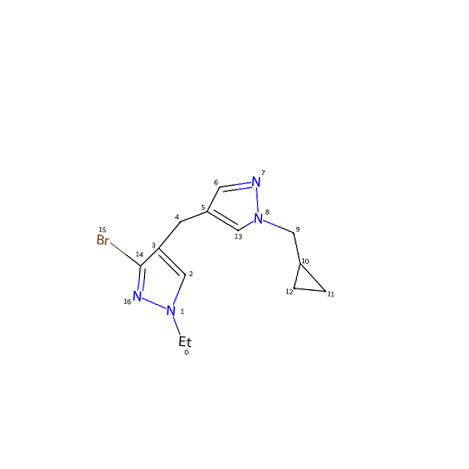 CCn1cc(Cc2cnn(CC3CC3)c2)c(Br)n1